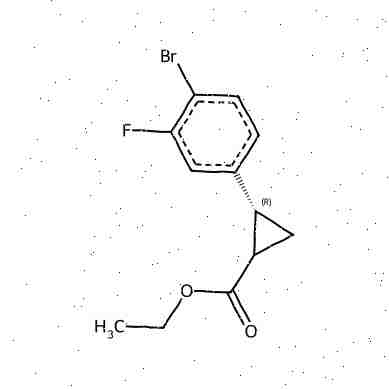 CCOC(=O)C1C[C@H]1c1ccc(Br)c(F)c1